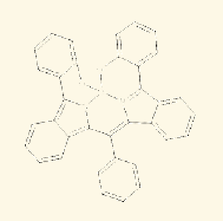 c1ccc(C2=C3c4ccccc4C4=[N+]3[B-]3(Oc5ccccc54)Oc4ccccc4-c4c5ccccc5c2n43)cc1